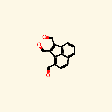 O=CC1=C(C=O)c2c(C=O)ccc3cccc1c23